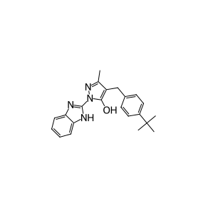 Cc1nn(-c2nc3ccccc3[nH]2)c(O)c1Cc1ccc(C(C)(C)C)cc1